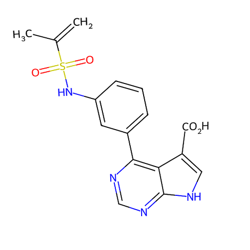 C=C(C)S(=O)(=O)Nc1cccc(-c2ncnc3[nH]cc(C(=O)O)c23)c1